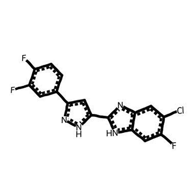 Fc1ccc(-c2cc(-c3nc4cc(Cl)c(F)cc4[nH]3)[nH]n2)cc1F